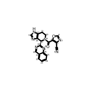 N#Cc1ncoc1C(=O)N1CCc2[nH]cnc2[C@@H]1c1ncc2ccccc2n1